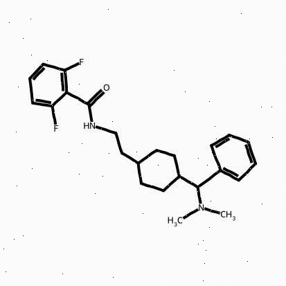 CN(C)C(c1ccccc1)C1CCC(CCNC(=O)c2c(F)cccc2F)CC1